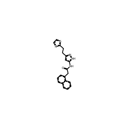 O=C(Cc1cccc2ccccc12)Nc1cc(CCc2nccs2)n[nH]1